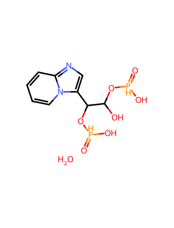 O.O=[PH](O)OC(O)C(O[PH](=O)O)c1cnc2ccccn12